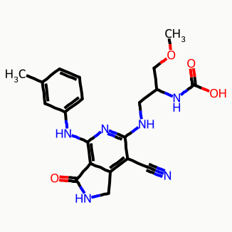 COCC(CNc1nc(Nc2cccc(C)c2)c2c(c1C#N)CNC2=O)NC(=O)O